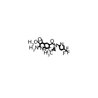 C[C@@H]1OCc2c1c(N)nc1ccc(C(=O)N(Cc3ccc(C(F)(F)F)cn3)[C@@H]3CC3(C)C)cc21